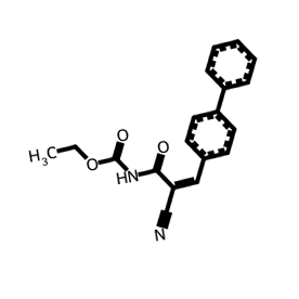 CCOC(=O)NC(=O)C(C#N)=Cc1ccc(-c2ccccc2)cc1